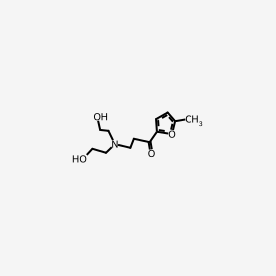 Cc1ccc(C(=O)CCN(CCO)CCO)o1